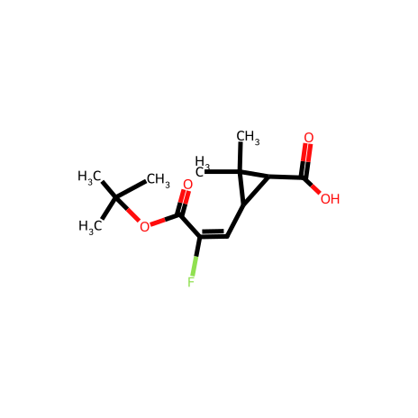 CC(C)(C)OC(=O)/C(F)=C\C1C(C(=O)O)C1(C)C